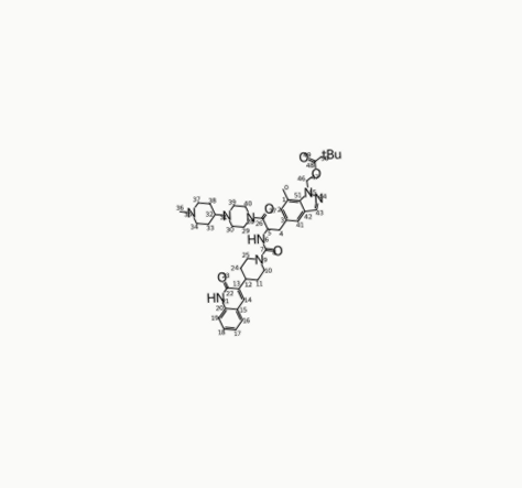 Cc1cc(CC(NC(=O)N2CCC(c3cc4ccccc4[nH]c3=O)CC2)C(=O)N2CCN(C3CCN(C)CC3)CC2)cc2cnn(COC(=O)C(C)(C)C)c12